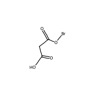 O=C(O)CC(=O)OBr